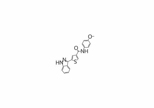 COc1ccc(NC(=O)c2csc(-c3n[nH]c4ccccc34)c2)cc1